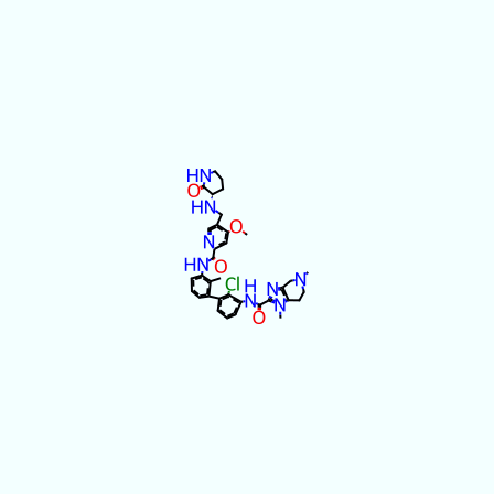 COc1cc(C(=O)Nc2cccc(-c3cccc(NC(=O)c4nc5c(n4C)CCN(C)C5)c3Cl)c2C)ncc1CN[C@H]1CCCNC1=O